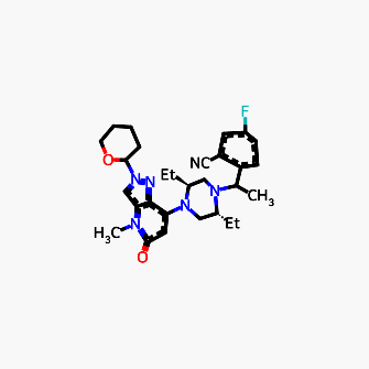 CC[C@H]1CN(C(C)c2ccc(F)cc2C#N)[C@H](CC)CN1c1cc(=O)n(C)c2cn(C3CCCCO3)nc12